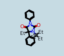 CCC1(c2ccccc2)C(=O)N(c2ccccc2)C(=O)N1[Si](CC)(CC)CC